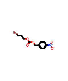 O=C(OCCCBr)OCc1ccc([N+](=O)[O-])cc1